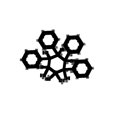 OC1(O)C(O)(O)C(O)(c2ccccc2)C(O)(c2ccccc2)C(O)(c2ccccc2)C1(O)c1ccccc1